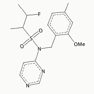 COc1ccc(CN(c2ccncn2)S(=O)(=O)C(C)C(C)F)c(OC)c1